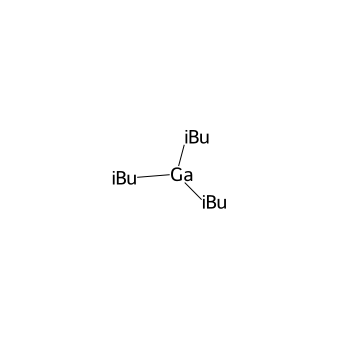 CC[CH](C)[Ga]([CH](C)CC)[CH](C)CC